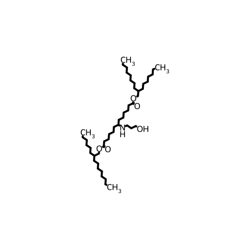 CCCCCCCCC(CCCCCC)COC(=O)CCCCCC(CCCCCC(=O)OCC(CCCCCCC)CCCCCCCC)NCCCO